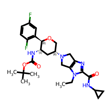 CCn1c(C(=O)NC2CC2)nc2c1CN([C@H]1CO[C@H](c3cc(F)ccc3F)[C@@H](NC(=O)OC(C)(C)C)C1)C2